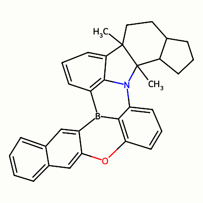 CC12CCC3CCCC3C1(C)N1c3cccc4c3B(c3cc5ccccc5cc3O4)c3cccc2c31